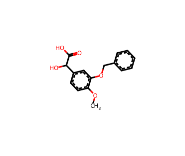 COc1ccc(C(O)C(=O)O)cc1OCc1ccccc1